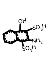 Nc1c(S(=O)(=O)O)c(O)c2ccccc2c1S(=O)(=O)O